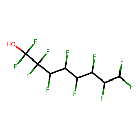 OC(F)(F)C(F)(F)C(F)C(F)C(F)C(F)C(F)C(F)F